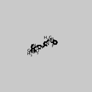 CCN(Cc1ccc(CN2CCN(c3nccc(C(C)C)c3C(=O)O)CC2)cn1)Cc1c(F)cccc1Cl